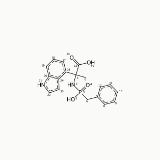 CC(NP(=O)(O)Cc1ccccc1)(C(=O)O)c1cccc2[nH]ccc12